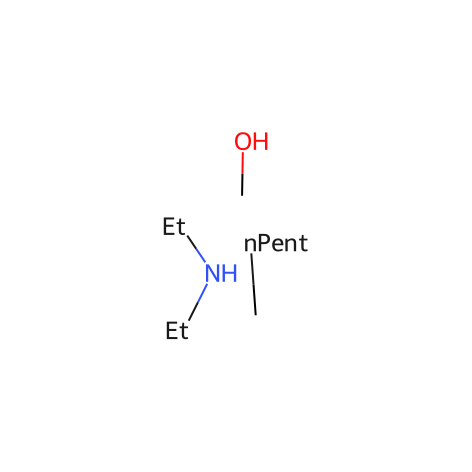 CCCCCC.CCNCC.CO